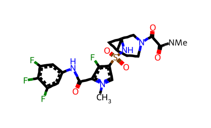 CNC(=O)C(=O)N1CCC2CC2(NS(=O)(=O)c2cn(C)c(C(=O)Nc3cc(F)c(F)c(F)c3)c2F)C1